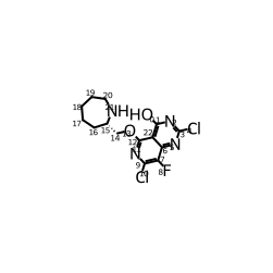 Oc1nc(Cl)nc2c(F)c(Cl)nc(OC[C@@H]3CCCCCN3)c12